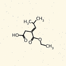 CCOC(=O)C(=CC(C)C)CC(=O)O